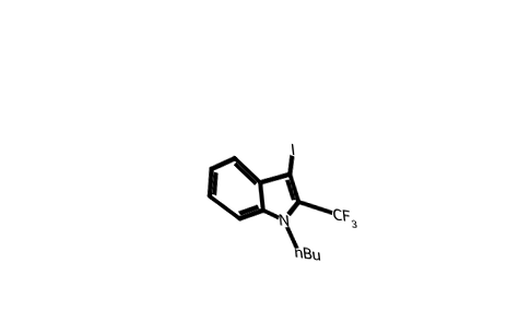 CCCCn1c(C(F)(F)F)c(I)c2ccccc21